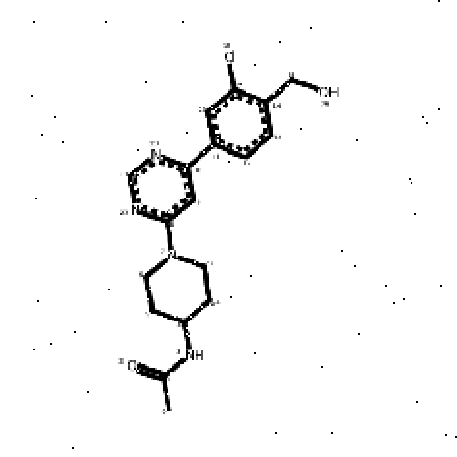 CC(=O)NC1CCN(c2cc(-c3ccc(CO)c(Cl)c3)ncn2)CC1